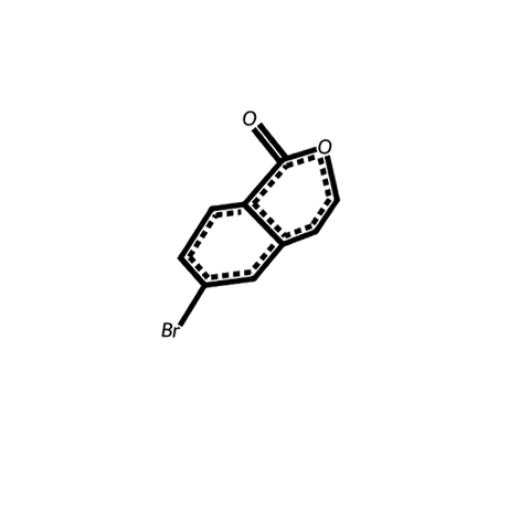 O=c1occc2cc(Br)ccc12